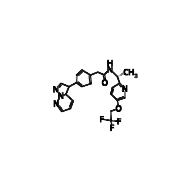 C[C@@H](NC(=O)Cc1ccc(C2C=NN3N=CC=CC23)cc1)c1ccc(OCC(F)(F)F)cn1